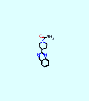 BC(=O)N1CCC(c2ncc3ccccc3n2)CC1